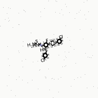 NC(=S)N/N=C/c1cc(F)c(N2CCN(c3cccc(Cl)c3)CC2)cc1NCc1ccc(Cl)cc1